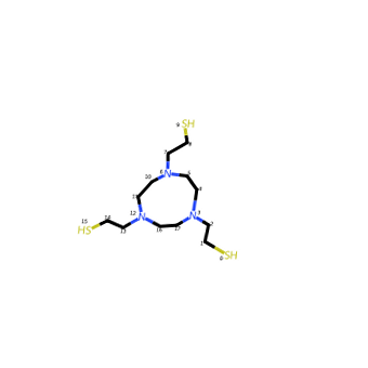 SCCN1CCN(CCS)CCN(CCS)CC1